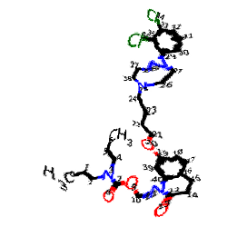 CCCN(CCC)C(=O)OCN1C(=O)CCc2ccc(OCCCCN3CCN(c4cccc(Cl)c4Cl)CC3)cc21